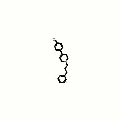 Clc1ccc(C2=CCN(CCCc3ccccc3)CC2)cc1